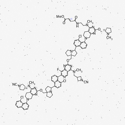 COC(=O)/C=C/C(=O)NCCN(C)c1nc(OC[C@@H]2CCCN2C)nc2c1CCN(c1cccc3c(C4CCC5(COc6nc(N(C)CC7CN(C#N)C7)c7cnc(-c8cccc9c(C%10CCC%11(COc%12nc%13c(c(N(C)[C@@H]%14CCN(C#N)C%14)n%12)CCN(c%12cccc%14cccc(Cl)c%12%14)C%13)CCCN%10%11)ccc(Cl)c89)c(F)c7n6)CCCN45)ccc(Cl)c13)C2